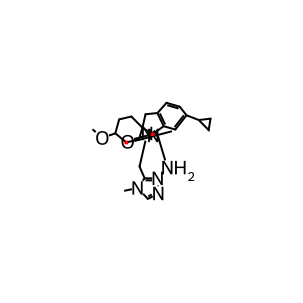 COC1CCC2(CC1)Cc1ccc(C3CC3)cc1C21N=C(N)N(Cc2nncn2C)C1=O